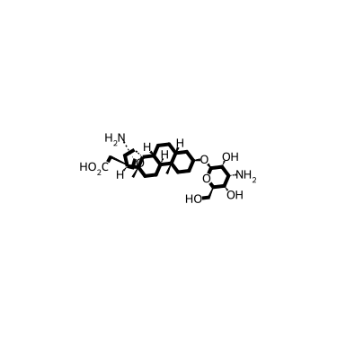 C[C@]12CC[C@H](O[C@@H]3O[C@H](CO)[C@@H](O)[C@@H](N)[C@H]3O)C[C@H]1CC[C@@H]1[C@@H]2CC[C@]2(C)[C@@H]3CC[C@]12O[C@@H](N)[C@H]3CC(=O)O